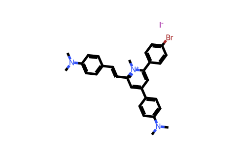 CN(C)c1ccc(/C=C/c2cc(-c3ccc(N(C)C)cc3)cc(-c3ccc(Br)cc3)[n+]2C)cc1.[I-]